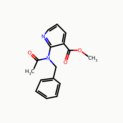 COC(=O)c1cccnc1N(Cc1ccccc1)C(C)=O